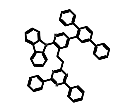 c1ccc(-c2ccc(-c3ccccc3)c(-c3cnc(-n4c5ccccc5c5ccccc54)c(CCc4nc(-c5ccccc5)nc(-c5ccccc5)n4)c3)c2)cc1